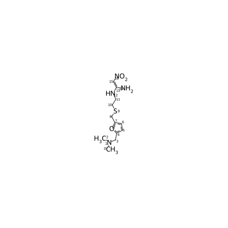 CN(C)Cc1ccc(CSCCN/C(N)=C/[N+](=O)[O-])o1